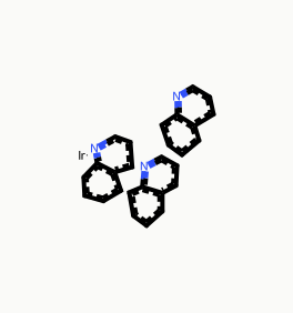 [Ir].c1ccc2ncccc2c1.c1ccc2ncccc2c1.c1ccc2ncccc2c1